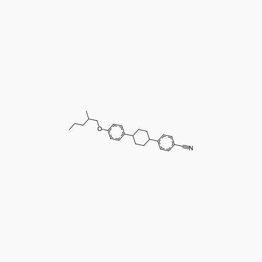 CCCC(C)COc1ccc(C2CCC(c3ccc(C#N)cc3)CC2)cc1